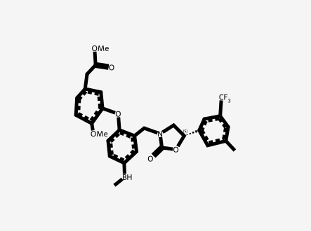 CBc1ccc(Oc2cc(CC(=O)OC)ccc2OC)c(CN2C[C@H](c3cc(C)cc(C(F)(F)F)c3)OC2=O)c1